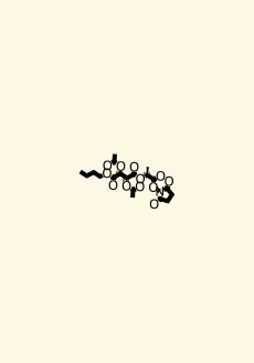 CCCCOC(=O)[C@H](OC(C)=O)[C@@H](OC(C)=O)C(=O)O[C@@H](C)C(=O)ON1C(=O)CCC1=O